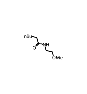 CCCCCC(=O)NCCOC